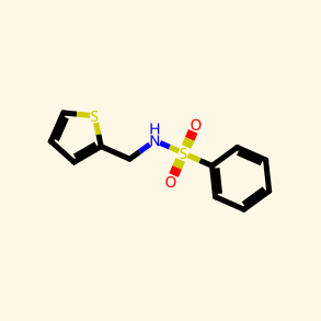 O=S(=O)(NCc1cccs1)c1ccccc1